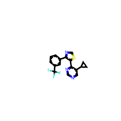 FC(F)(F)c1cccc(-c2ncsc2-c2n[c]ncc2C2CC2)c1